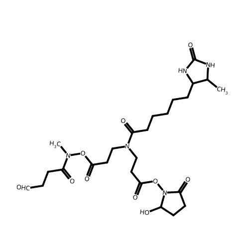 CC1NC(=O)NC1CCCCCC(=O)N(CCC(=O)ON(C)C(=O)CCC=O)CCC(=O)ON1C(=O)CCC1O